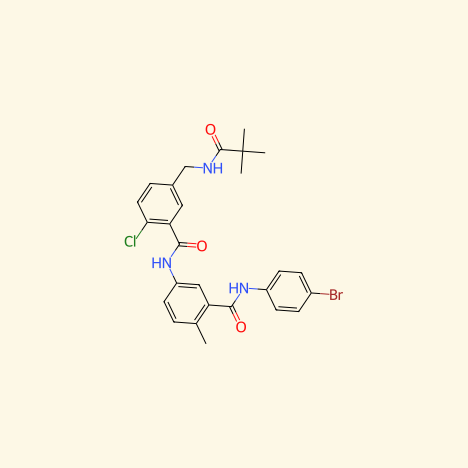 Cc1ccc(NC(=O)c2cc(CNC(=O)C(C)(C)C)ccc2Cl)cc1C(=O)Nc1ccc(Br)cc1